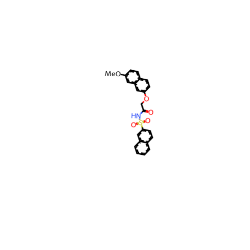 COc1ccc2ccc(OCC(=O)NS(=O)(=O)c3ccc4ccccc4c3)cc2c1